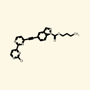 CCCCOC(=O)n1ncc2cc(C#Cc3ccnc(-c4ccnc(Cl)n4)n3)ccc21